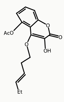 CCC=CCCOc1c(O)c(=O)oc2cccc(OC(C)=O)c12